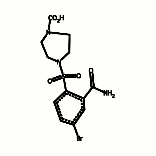 NC(=O)c1cc(Br)ccc1S(=O)(=O)N1CCN(C(=O)O)CC1